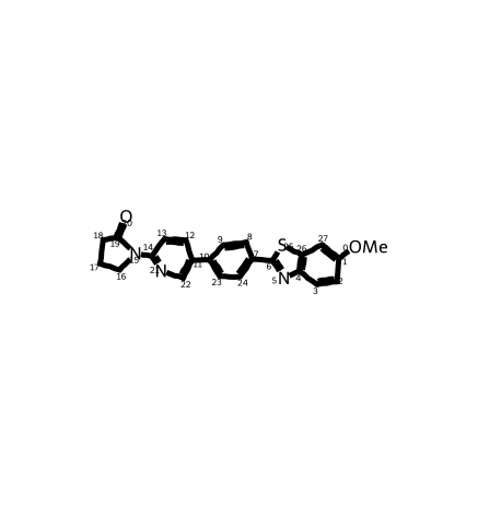 COc1ccc2nc(-c3ccc(-c4ccc(N5CCCC5=O)nc4)cc3)sc2c1